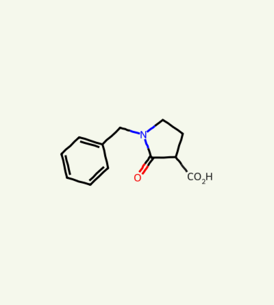 O=C(O)C1CCN(Cc2ccccc2)C1=O